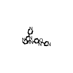 c1cnc2cc(-c3ccncc3)nc(Nc3ccc4oc(-c5ccncc5)nc4c3)c2c1